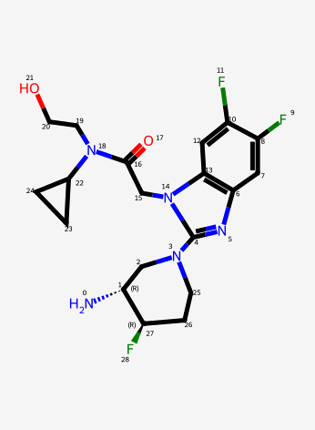 N[C@@H]1CN(c2nc3cc(F)c(F)cc3n2CC(=O)N(CCO)C2CC2)CC[C@H]1F